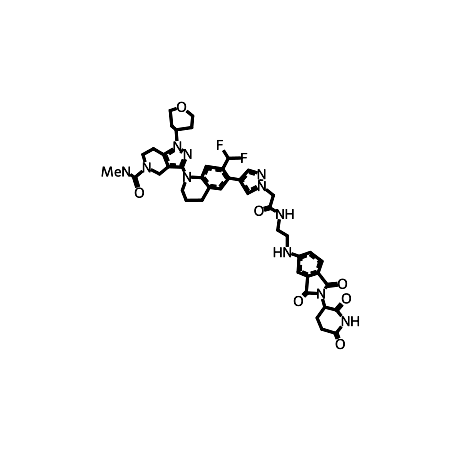 CNC(=O)N1CCc2c(c(N3CCCc4cc(-c5cnn(CC(=O)NCCNc6ccc7c(c6)C(=O)N(C6CCC(=O)NC6=O)C7=O)c5)c(C(F)F)cc43)nn2C2CCOCC2)C1